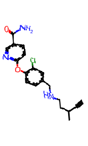 C#CC(C)CCNCc1ccc(Oc2ccc(C(N)=O)cn2)c(Cl)c1